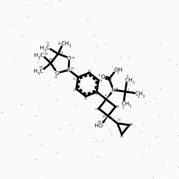 CC(C)(C)N(C(=O)O)[C@]1(c2ccc(B3OC(C)(C)C(C)(C)O3)cc2)C[C@@](O)(C2CC2)C1